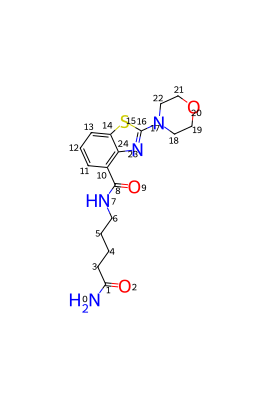 NC(=O)CCCCNC(=O)c1cccc2sc(N3CCOCC3)nc12